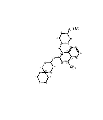 CCOC(=O)C1CCN(Cc2c(OC3CCC4(CCCCC4)CC3)cc(C)c3ccccc23)CC1